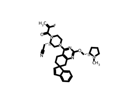 C=C(F)C(=O)N1CCN(c2nc(OC[C@@H]3CCCN3C)nc3c2CCC2(C=Cc4ccccc42)C3)C[C@@H]1CC#N